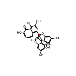 O=c1c(O)ccc([C@H]2Oc3cc(O)cc(O)c3C[C@H]2O)c2c(C3Oc4cc(O)cc(O)c4C[C@H]3O)cc(O)c(O)c12